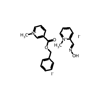 C[n+]1cccc(C(=O)OCc2ccccc2)c1.C[n+]1ccccc1C=NO.[I-].[I-]